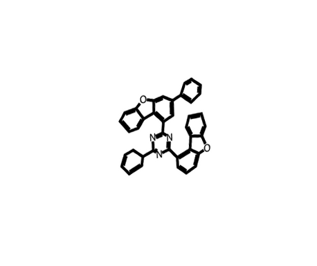 C1=CCC(c2nc(-c3cccc4oc5ccccc5c34)nc(-c3cc(-c4ccccc4)cc4oc5ccccc5c34)n2)C=C1